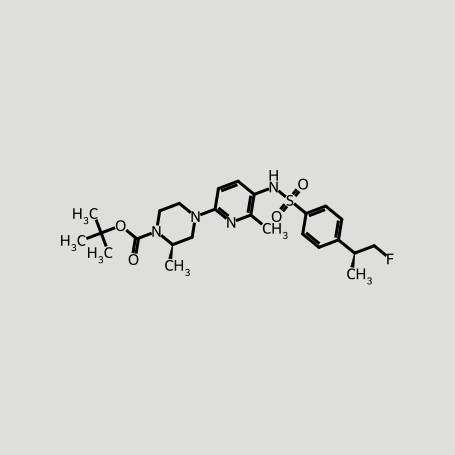 Cc1nc(N2CCN(C(=O)OC(C)(C)C)[C@H](C)C2)ccc1NS(=O)(=O)c1ccc([C@H](C)CF)cc1